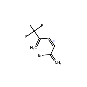 C=C(Br)/C=C\C(=C)C(F)(F)F